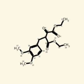 CCOC(=O)C(=O)C(Cc1ccc(OC)c(OC)c1)C(=O)OCC